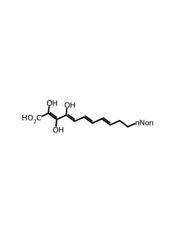 CCCCCCCCCCC/C=C/C=C/C=C(O)/C(O)=C(\O)C(=O)O